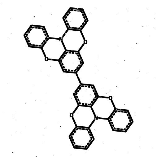 c1ccc2c(c1)Oc1cc(-c3cc4c5c(c3)Oc3ccccc3N5c3ccccc3O4)cc3c1N2c1ccccc1O3